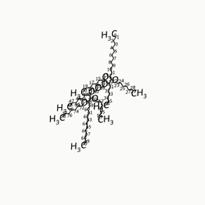 CCCCCCCCCCCCC(OCCCCCCC)=C(OCCCCCCC)C(CCCCCC)OCOCOC(CCCCCC)C(OCCCCCCC)=C(CCCCCCCCCCCC)OCCCCCCC